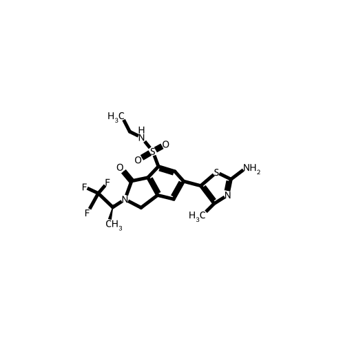 CCNS(=O)(=O)c1cc(-c2sc(N)nc2C)cc2c1C(=O)N([C@@H](C)C(F)(F)F)C2